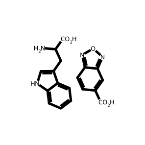 NC(Cc1c[nH]c2ccccc12)C(=O)O.O=C(O)c1ccc2nonc2c1